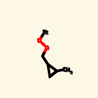 CCOOCC1CC1C